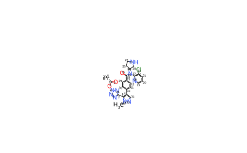 CC(C)C(=O)On1nnc(-c2c(-c3ccc(C(=O)N(c4ncccc4Cl)[C@@H]4CCNC4)cc3)cnn2C)n1